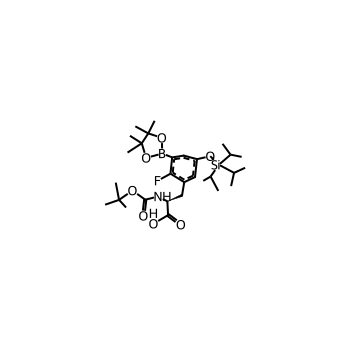 CC(C)[Si](Oc1cc(C[C@H](NC(=O)OC(C)(C)C)C(=O)O)c(F)c(B2OC(C)(C)C(C)(C)O2)c1)(C(C)C)C(C)C